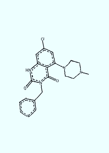 CN1CCN(c2cc(Cl)cc3[nH]c(=O)n(Cc4ccccc4)c(=O)c23)CC1